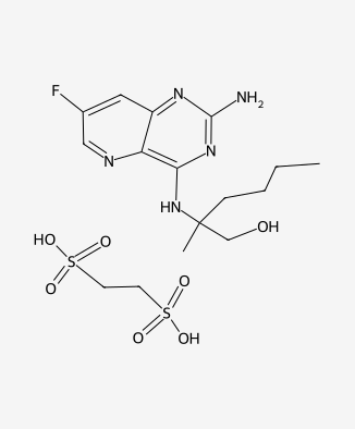 CCCCC(C)(CO)Nc1nc(N)nc2cc(F)cnc12.O=S(=O)(O)CCS(=O)(=O)O